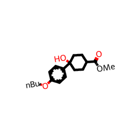 CCCCOc1ccc(C2(O)CCC(C(=O)OC)CC2)cc1